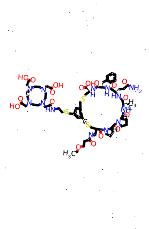 CCOCCC(=O)/N=C/C1CSCc2cc(CSCCNC(=O)CN3CCN(CC(=O)O)CCN(CC(=O)O)CCN(CC(=O)O)CC3)cc(c2)CSC[C@@H](C(=O)O)NC(=O)[C@H](Cc2ccccc2)NC(=O)[C@H](CCC(N)=O)NC(=O)[C@H](CC)NC(=O)[C@@H]2CCCN2C(=O)[C@@H]2CCCN2C1=O